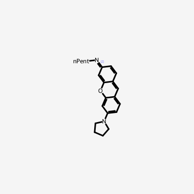 CCCCC/N=c1/ccc2cc3ccc(N4CCCC4)cc3oc-2c1